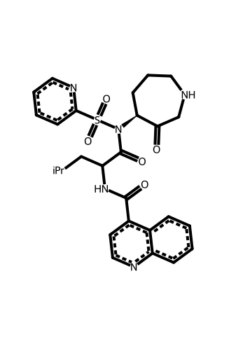 CC(C)CC(NC(=O)c1ccnc2ccccc12)C(=O)N([C@H]1CCCNCC1=O)S(=O)(=O)c1ccccn1